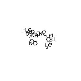 COC(=O)C(Cc1cnc2ccccc2c1)NC(=O)C1CCN(C(=O)C=Cc2ccc(SC)c(Cl)c2Cl)CC1